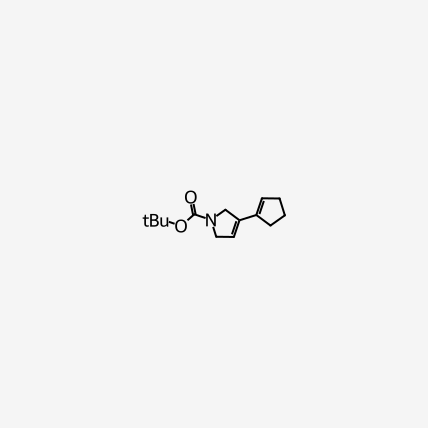 CC(C)(C)OC(=O)N1CC=C(C2=CCCC2)C1